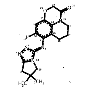 CC1(C)Cc2nsc(=Nc3c(F)cc4c5c3CCCN5C(=O)CO4)n2C1